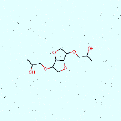 CC(O)COC1COC2C(OCC(C)O)COC12